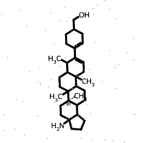 CC1C(C2=CCC(CO)CC2)=CCC2(C)C1CCC1(C)C2CCC2C3CCCC3(N)CC[C@]21C